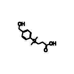 C[Si](C)(CCC(=O)O)c1ccc(CO)cc1